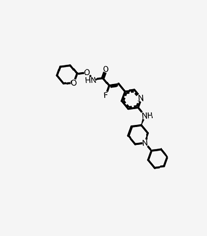 O=C(NOC1CCCCO1)C(F)=Cc1ccc(N[C@@H]2CCCN(C3CCCCC3)C2)nc1